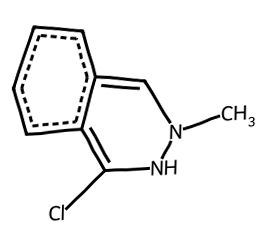 CN1C=c2ccccc2=C(Cl)N1